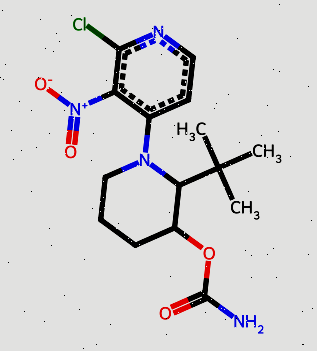 CC(C)(C)C1C(OC(N)=O)CCCN1c1ccnc(Cl)c1[N+](=O)[O-]